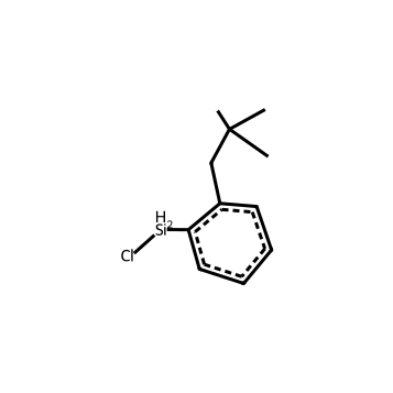 CC(C)(C)Cc1ccccc1[SiH2]Cl